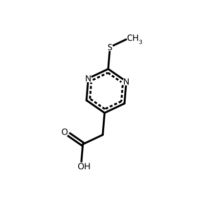 CSc1ncc(CC(=O)O)cn1